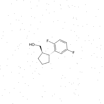 OC[C@@H]1CCC[C@H]1c1cc(F)ccc1F